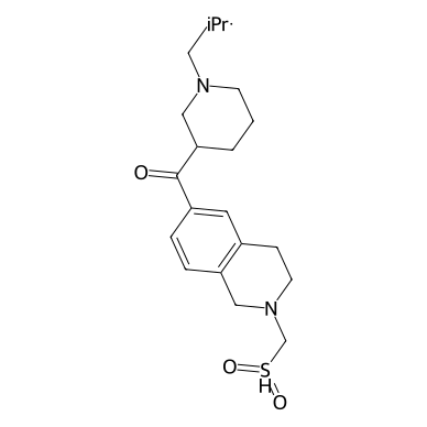 C[C](C)CN1CCCC(C(=O)c2ccc3c(c2)CCN(C[SH](=O)=O)C3)C1